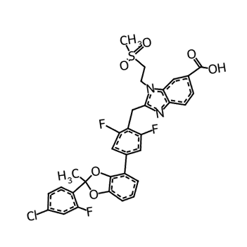 CC1(c2ccc(Cl)cc2F)Oc2cccc(-c3cc(F)c(Cc4nc5ccc(C(=O)O)cc5n4CCS(C)(=O)=O)c(F)c3)c2O1